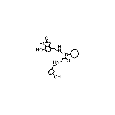 O=C(CCNCCc1cccc(O)c1)N(CCNCCc1ccc(O)c2[nH]c(=O)sc12)C1CCCCCCC1